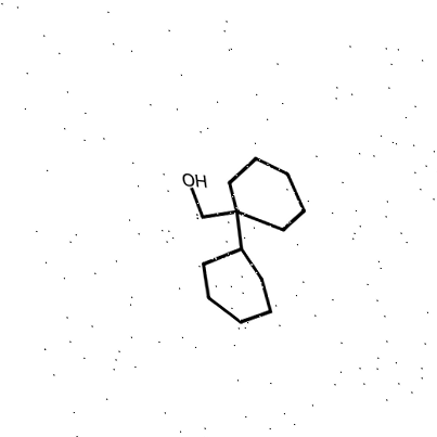 O[C]C1(C2CCCCC2)CCCCC1